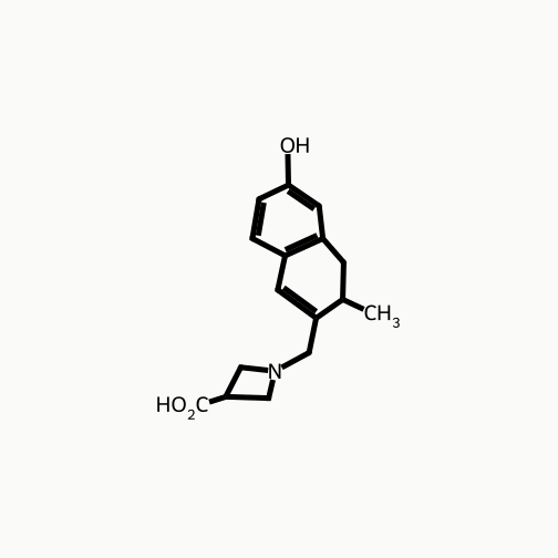 CC1Cc2cc(O)ccc2C=C1CN1CC(C(=O)O)C1